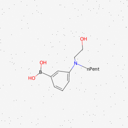 CCCCCN(CCO)c1cccc(B(O)O)c1